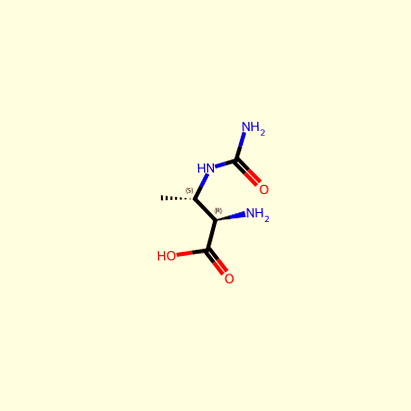 C[C@H](NC(N)=O)[C@@H](N)C(=O)O